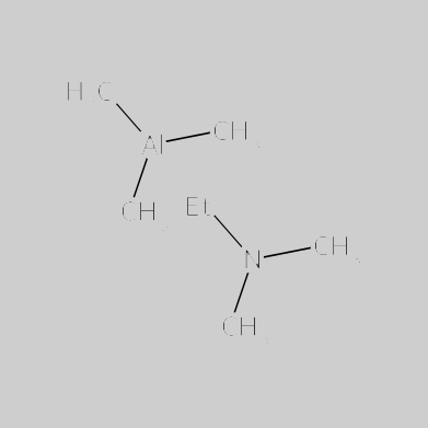 CCN(C)C.[CH3][Al]([CH3])[CH3]